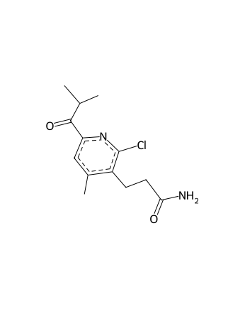 Cc1cc(C(=O)C(C)C)nc(Cl)c1CCC(N)=O